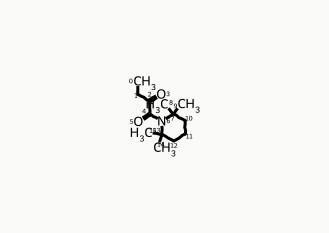 CCC(=O)C(=O)N1C(C)(C)CCCC1(C)C